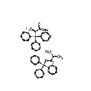 C=C(C(=O)OC)C(c1ccccc1)(c1ccccc1)c1ccncc1.C=C(C)C(=O)OC(c1ccccc1)(c1ccccc1)c1ccccc1